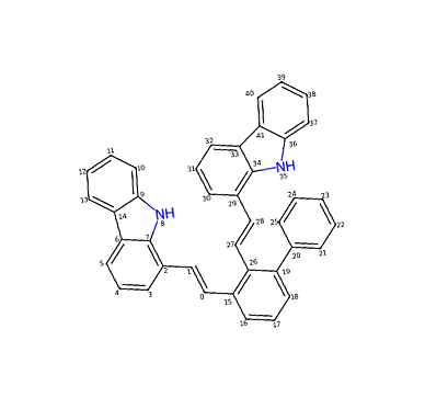 C(=Cc1cccc2c1[nH]c1ccccc12)c1cccc(-c2ccccc2)c1C=Cc1cccc2c1[nH]c1ccccc12